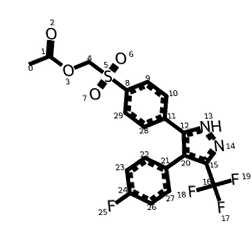 CC(=O)OCS(=O)(=O)c1ccc(-c2[nH]nc(C(F)(F)F)c2-c2ccc(F)cc2)cc1